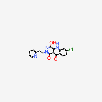 O=c1c2ccc(Cl)cc2[nH]c2c(O)nn(CCc3ccccn3)c(=O)c12